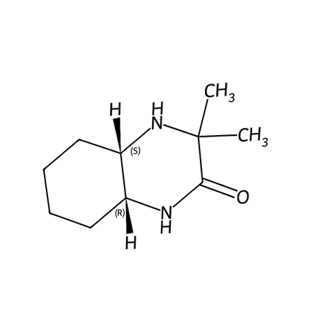 CC1(C)N[C@H]2CCCC[C@H]2NC1=O